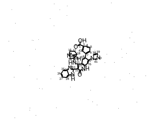 O=C(O)c1cccc(-c2cc3c(N[C@@H]4CN5CCC4CC5)c(-c4nc5ccccc5[nH]4)c(=O)[nH]c3cc2-n2ccnc2)c1